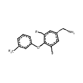 NCc1cc(F)c(Oc2cccc(C(F)(F)F)c2)c(F)c1